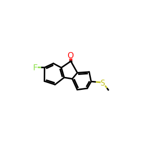 CSc1ccc2c(c1)C(=O)c1cc(F)ccc1-2